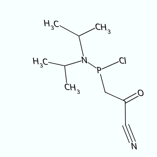 CC(C)N(C(C)C)P(Cl)CC(=O)C#N